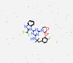 COc1cc(CC(C)(C)Nc2nc(N3CCOCC3)nc(-n3c(C(F)F)nc4ccccc43)n2)ccc1F